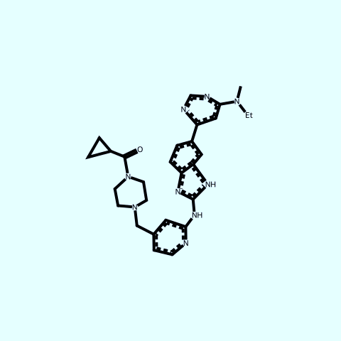 CCN(C)c1cc(-c2ccc3nc(Nc4cc(CN5CCN(C(=O)C6CC6)CC5)ccn4)[nH]c3c2)ncn1